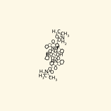 CC[C@H](C)[C@H](N)C(=O)OCc1ccccc1C(=O)[C@@H]1Cc2ccccc2[C@H]1NC(=O)[C@H](OCc1ccccc1F)[C@H](O)[C@@H](O)[C@@H](OCc1ccccc1F)C(=O)N[C@@H]1c2ccccc2C[C@H]1C(=O)c1ccccc1COC(=O)[C@@H](N)[C@@H](C)CC